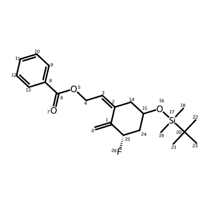 C=C1/C(=C\COC(=O)c2ccccc2)CC(O[Si](C)(C)C(C)(C)C)C[C@@H]1F